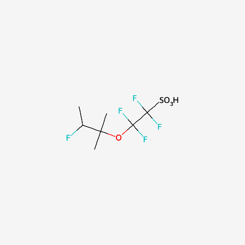 CC(F)C(C)(C)OC(F)(F)C(F)(F)S(=O)(=O)O